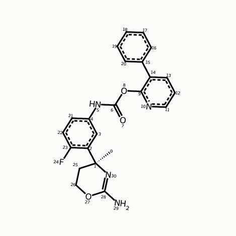 C[C@@]1(c2cc(NC(=O)Oc3ncccc3-c3ccccc3)ccc2F)CCOC(N)=N1